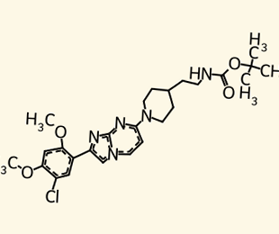 COc1cc(OC)c(-c2cn3ccc(N4CCC(CCNC(=O)OC(C)(C)C)CC4)nc3n2)cc1Cl